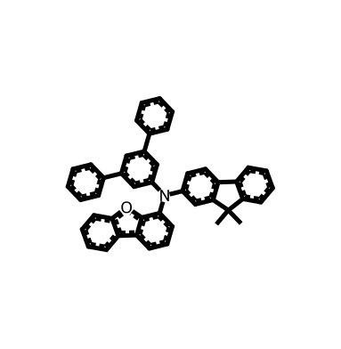 CC1(C)c2ccccc2-c2ccc(N(c3cc(-c4ccccc4)cc(-c4ccccc4)c3)c3cccc4c3oc3ccccc34)cc21